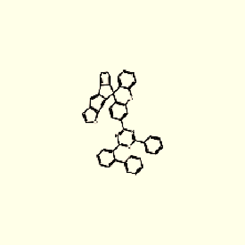 c1ccc(-c2nc(-c3ccc4c(c3)Sc3ccccc3C43c4ccccc4-c4cc5ccoc5cc43)nc(-c3ccccc3-c3ccccc3)n2)cc1